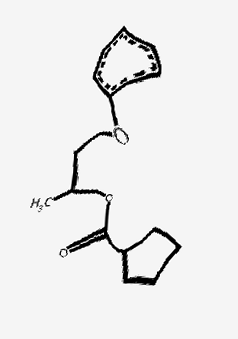 CC(COc1ccccc1)OC(=O)C1CCCC1